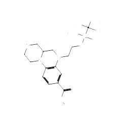 COC(=O)c1ccc2c(c1)N(CCO[Si](C)(C)C(C)(C)C)C[C@@H]1CNCCN21